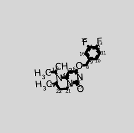 CC(C)N1c2cc(OCc3ccc(F)c(F)c3)nc(=O)n2CC[C@H]1C